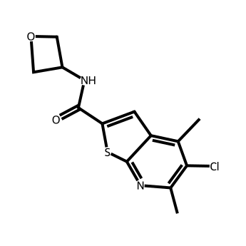 Cc1nc2sc(C(=O)NC3COC3)cc2c(C)c1Cl